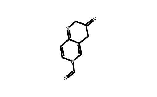 O=CN1C=CC2=NCC(=O)CC2=C1